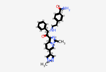 Cc1nc(C(=O)[C@@H](NCCc2ccc(C(N)=O)cc2)c2ccccc2)c2ccc(-c3cnn(C)c3)cn12